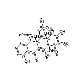 CCCCC[C@@H]1c2cccc(O)c2C(=O)C2=C(O)[C@@]3(O)C(=O)C(C(C)=O)=C(O)C(C(C)C)[C@@]3(C)[C@H](CC(=O)CC)[C@]21C